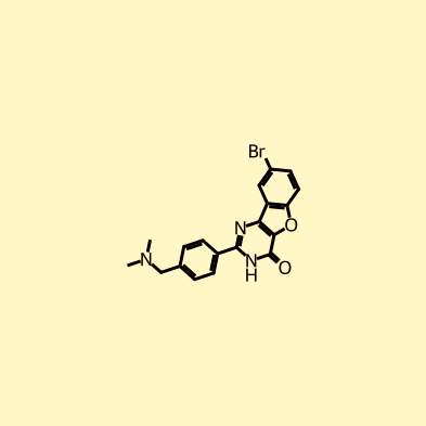 CN(C)Cc1ccc(-c2nc3c(oc4ccc(Br)cc43)c(=O)[nH]2)cc1